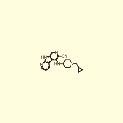 N#Cc1ncc2[nH]c3ncccc3c2c1NC1CCN(CC2CC2)CC1